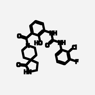 O=C(Nc1cccc(C(=O)N2CCC3(CCNC3=O)CC2)c1O)Nc1cccc(F)c1Cl